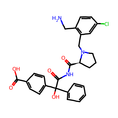 NCc1ccc(Cl)cc1CN1CCC[C@H]1C(=O)NC(=O)C(O)(c1ccccc1)c1ccc(C(=O)O)cc1